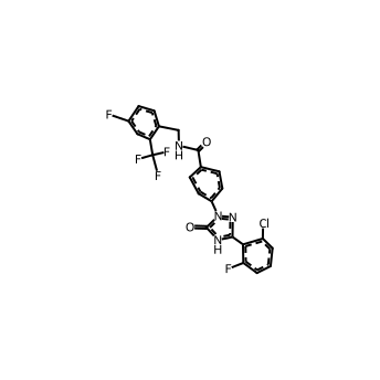 O=C(NCc1ccc(F)cc1C(F)(F)F)c1ccc(-n2nc(-c3c(F)cccc3Cl)[nH]c2=O)cc1